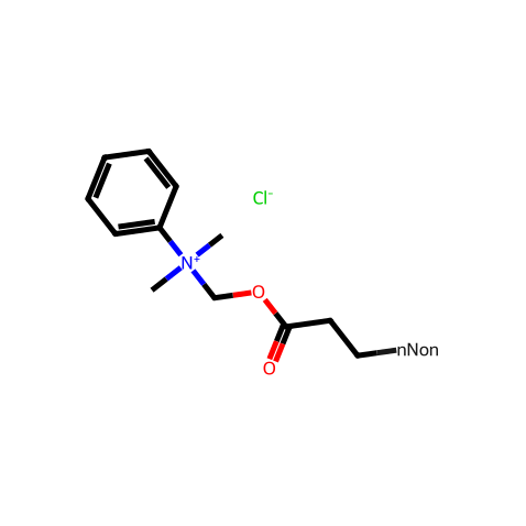 CCCCCCCCCCCC(=O)OC[N+](C)(C)c1ccccc1.[Cl-]